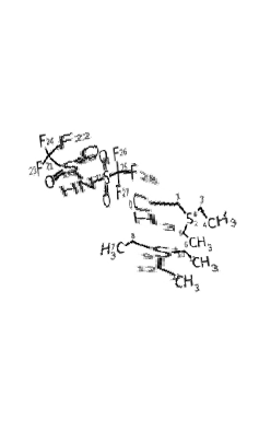 CC[S+](CC)CC.CC[S+](CC)CC.O=S(=O)(NS(=O)(=O)C(F)(F)F)C(F)(F)F